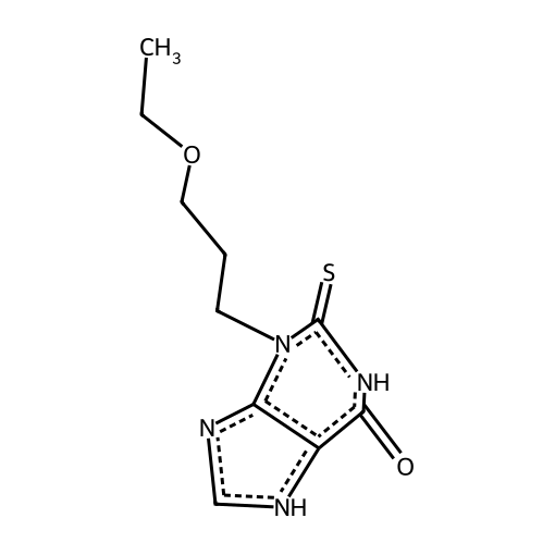 CCOCCCn1c(=S)[nH]c(=O)c2[nH]cnc21